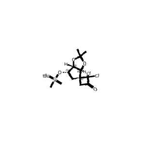 CC1(C)O[C@H]2[C@@H](O[Si](C)(C)C(C)(C)C)C[C@@]3(CC(=O)C3(Cl)Cl)[C@H]2O1